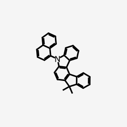 CC1(C)c2ccccc2-c2c1ccc1c2c2ccccc2n1-c1cccc2ccccc12